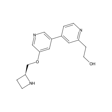 OCCc1cc(-c2cncc(OC[C@@H]3CCN3)c2)ccn1